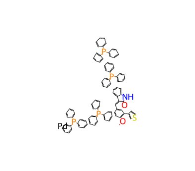 COc1ccc(C=C2C(=O)Nc3ccccc32)cc1-c1ccsc1.[Pd].c1ccc(P(c2ccccc2)c2ccccc2)cc1.c1ccc(P(c2ccccc2)c2ccccc2)cc1.c1ccc(P(c2ccccc2)c2ccccc2)cc1.c1ccc(P(c2ccccc2)c2ccccc2)cc1